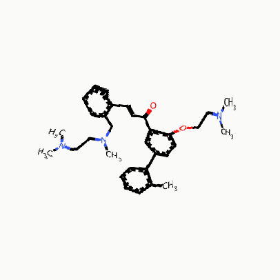 Cc1ccccc1-c1ccc(OCCN(C)C)c(C(=O)/C=C/c2ccccc2CN(C)CCN(C)C)c1